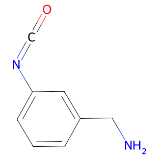 NCc1cccc(N=C=O)c1